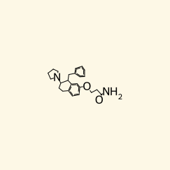 NC(=O)CCOc1ccc2c(c1)C(Cc1ccccc1)C(N1CCCC1)CC2